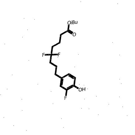 CC(C)COC(=O)CCCC(F)(F)CCCc1ccc(O)c(F)c1